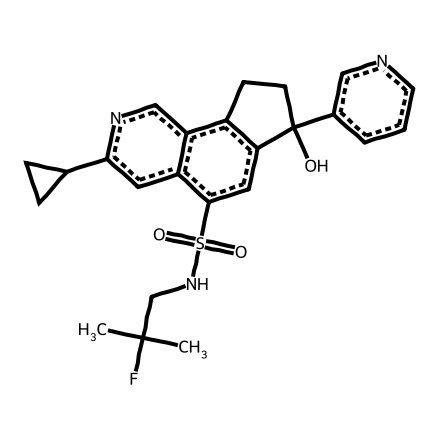 CC(C)(F)CNS(=O)(=O)c1cc2c(c3cnc(C4CC4)cc13)CCC2(O)c1cccnc1